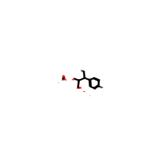 COCC(c1ccc(C(F)(F)F)cc1)C(COC(=O)C(C)(C)C)C(=O)OC(C)(C)C